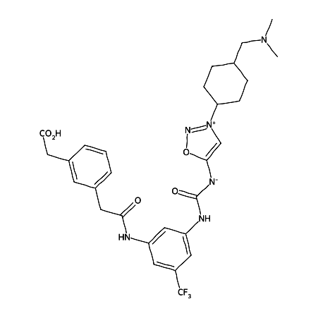 CN(C)CC1CCC([n+]2cc([N-]C(=O)Nc3cc(NC(=O)Cc4cccc(CC(=O)O)c4)cc(C(F)(F)F)c3)on2)CC1